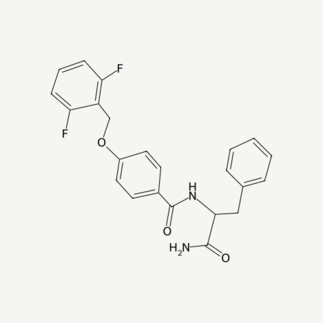 NC(=O)C(Cc1ccccc1)NC(=O)c1ccc(OCc2c(F)cccc2F)cc1